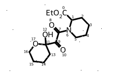 CCOC(=O)C1CCCCN1C(=O)C(=O)C1(O)CCCCO1